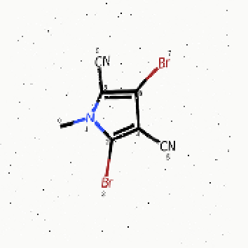 Cn1c(Br)c(C#N)c(Br)c1C#N